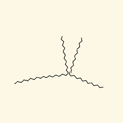 CCCCCCCCCCCCCCCCC[N+](CCCCCCCCCCCC)(CCCCCCCCCCCC)CCCCCCCCCCCC